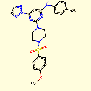 COc1ccc(S(=O)(=O)N2CCN(c3nc(Nc4ccc(C)cc4)cc(-n4nccn4)n3)CC2)cc1